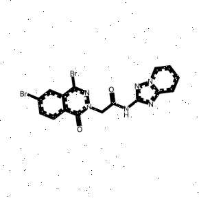 O=C(Cn1nc(Br)c2cc(Br)ccc2c1=O)Nc1nc2ccccn2n1